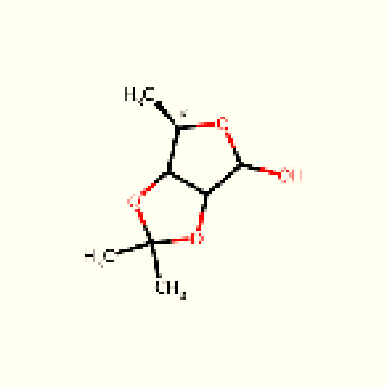 C[C@H]1OC(O)C2OC(C)(C)OC21